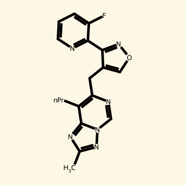 CCCc1c(Cc2conc2-c2ncccc2F)ncn2nc(C)nc12